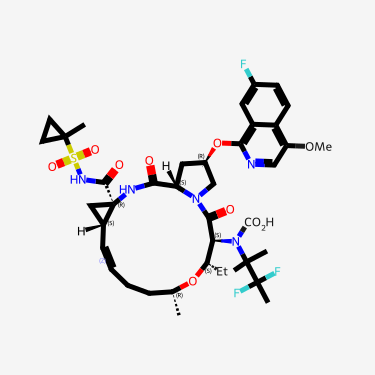 CC[C@@H]1O[C@H](C)CC/C=C\[C@@H]2C[C@@]2(C(=O)NS(=O)(=O)C2(C)CC2)NC(=O)[C@@H]2C[C@@H](Oc3ncc(OC)c4ccc(F)cc34)CN2C(=O)[C@H]1N(C(=O)O)C(C)(C)C(C)(F)F